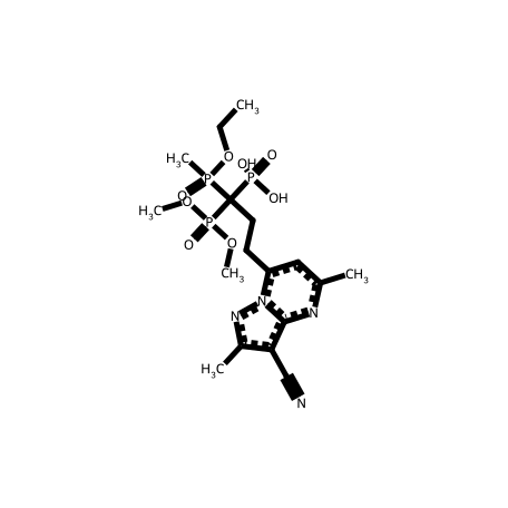 CCOP(C)(=O)C(CCc1cc(C)nc2c(C#N)c(C)nn12)(P(=O)(O)O)P(=O)(OC)OC